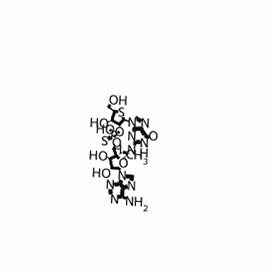 CC[C@]1(COP(O)(=S)O[C@@H]2[C@H](O)[C@@H](CO)S[C@H]2n2cnc3c(=O)[nH]c(N)nc32)O[C@@H](n2cnc3c(N)ncnc32)[C@H](O)[C@@H]1O